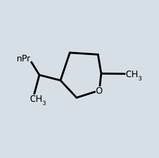 CCCC(C)C1CCC(C)OC1